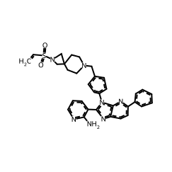 C=CS(=O)(=O)N1CC2(CCN(Cc3ccc(-n4c(-c5cccnc5N)nc5ccc(-c6ccccc6)nc54)cc3)CC2)C1